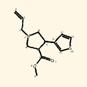 C=CCN1CC(C(=O)OC)C(c2ccsc2)C1